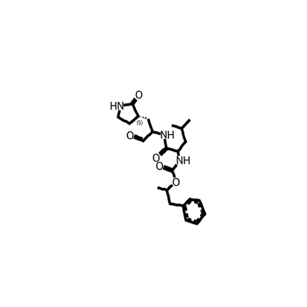 CC(C)CC(NC(=O)OC(C)Cc1ccccc1)C(=O)NC(C=O)C[C@@H]1CCNC1=O